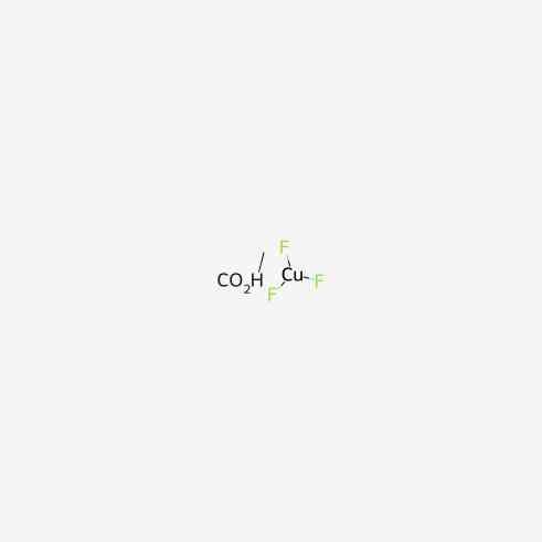 CC(=O)O.[F][Cu]([F])[F]